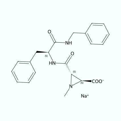 CN1[C@H](C(=O)[O-])[C@H]1C(=O)N[C@@H](Cc1ccccc1)C(=O)NCc1ccccc1.[Na+]